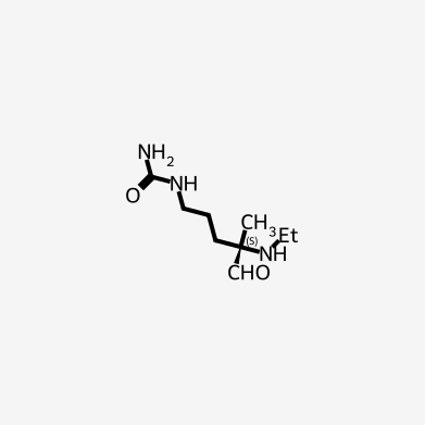 CCN[C@](C)(C=O)CCCNC(N)=O